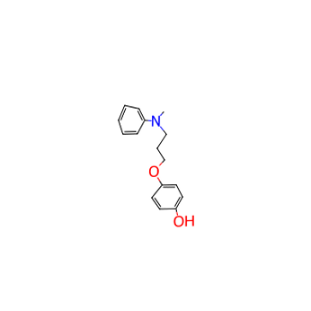 CN(CCCOc1ccc(O)cc1)c1ccccc1